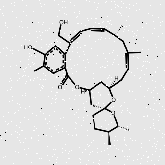 C/C1=C/C[C@@H]2C[C@@H](C[C@]3(CC[C@H](C)[C@@H](C)O3)O2)OC(=O)c2cc(C)c(O)cc2/C(CO)=C\C=C/[C@H](C)C1